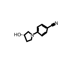 N#Cc1ccc(N2CC[C@H](O)C2)cc1